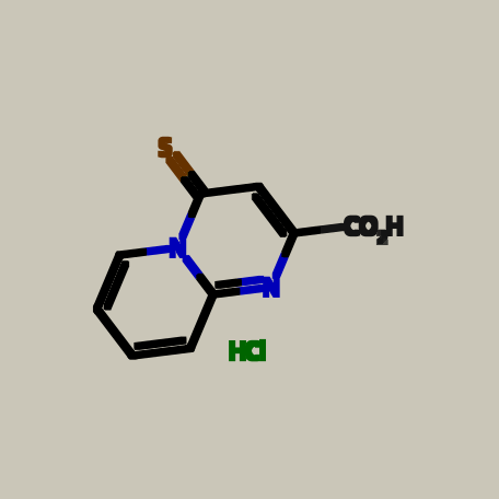 Cl.O=C(O)c1cc(=S)n2ccccc2n1